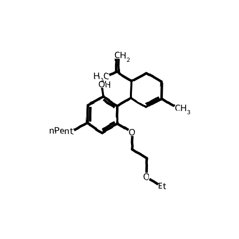 C=C(C)C1CCC(C)=CC1c1c(O)cc(CCCCC)cc1OCCOCC